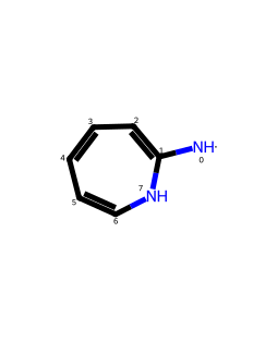 [NH]C1=CC=CC=CN1